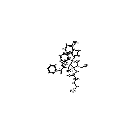 C[C@@]1(OC(=O)Nc2ccccc2)[C@](C)(OC(=O)NCCN)[C@@H](CO)O[C@@]1(c1ccccc1)n1cnc2c(N)ncnc21